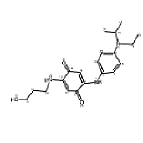 CCN(c1ccc(NC2=CC(=O)C(NCCCO)=CC2=O)cc1)C(C)C